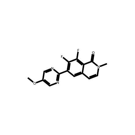 COc1cnc(-c2cc3ccn(C)c(=O)c3c(F)c2F)nc1